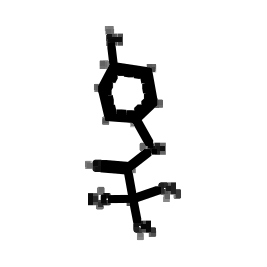 CC(C)(C)C(=O)Nc1ccc(S)cc1